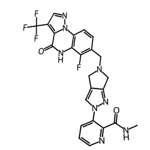 CNC(=O)c1ncccc1-n1cc2c(n1)CN(Cc1ccc3c([nH]c(=O)c4c(C(F)(F)F)cnn43)c1F)C2